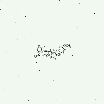 COc1ccc(Cl)c(NC(=O)c2sc3nc(-c4ccccc4OC)ccc3c2N)c1